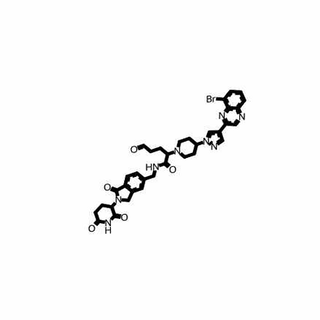 O=CCCC(C(=O)NCc1ccc2c(c1)CN(C1CCC(=O)NC1=O)C2=O)N1CCC(n2cc(-c3cnc4cccc(Br)c4n3)cn2)CC1